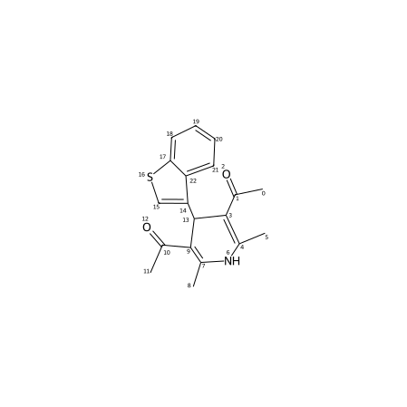 CC(=O)C1=C(C)NC(C)=C(C(C)=O)C1c1csc2ccccc12